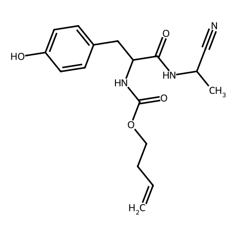 C=CCCOC(=O)NC(Cc1ccc(O)cc1)C(=O)NC(C)C#N